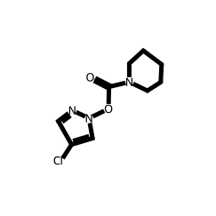 O=C(On1cc(Cl)cn1)N1CCCCC1